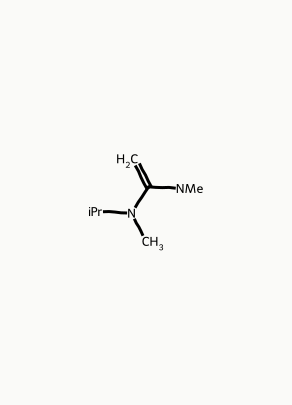 C=C(NC)N(C)C(C)C